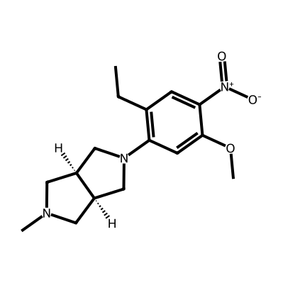 CCc1cc([N+](=O)[O-])c(OC)cc1N1C[C@H]2CN(C)C[C@H]2C1